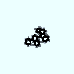 c1ccc(-c2cnc(-n3c4ccccc4c4ccc5ccsc5c43)c3ccccc23)cc1